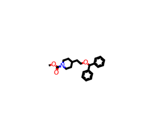 COC(=O)N1CCC(CCOC(c2ccccc2)c2ccccc2)CC1